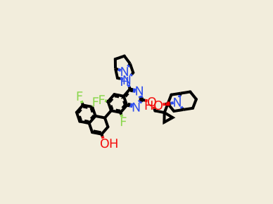 OC1=Cc2ccc(F)c(F)c2C(c2c(F)cc3c(N4CC5CCC(C4)N5)nc(OCC4(CN5C6CCCC5CC(O)C6)CC4)nc3c2F)C1